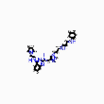 c1ccc2c(NCCN3CCCC3)nc(NCc3cn(CCCNCCCNC4CCCCC4)nn3)nc2c1